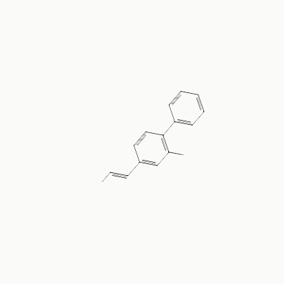 O=C(O)C=Cc1ccc(-c2ccccc2)c(O)c1